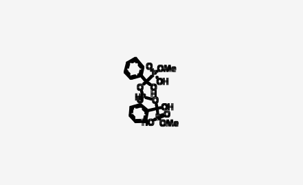 COP(=O)(O)C(O)(O[PH](=O)OC(O)(c1ccccc1)P(=O)(O)OC)c1ccccc1